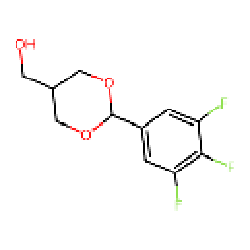 OCC1COC(c2cc(F)c(F)c(F)c2)OC1